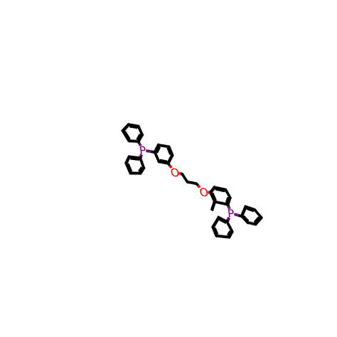 Cc1c(OCCCOc2cccc(P(c3ccccc3)c3ccccc3)c2)cccc1P(c1ccccc1)c1ccccc1